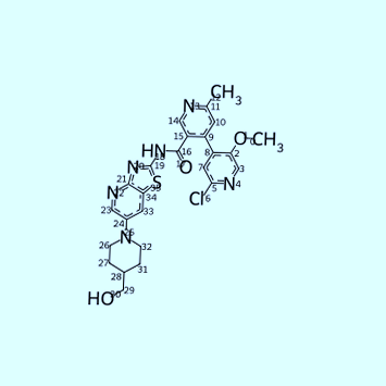 COc1cnc(Cl)cc1-c1cc(C)ncc1C(=O)Nc1nc2ncc(N3CCC(CO)CC3)cc2s1